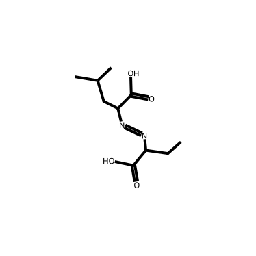 CCC(N=NC(CC(C)C)C(=O)O)C(=O)O